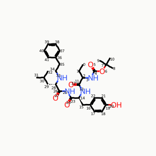 CCC(NC(=O)OC(C)(C)C)C(=O)N[C@@H](Cc1ccc(O)cc1)C(=O)NC(=O)[C@H](CC(C)C)NCCc1ccccc1